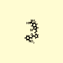 CCn1c(CC[C@@H]2CCCN2C(=O)Cc2ccccc2[N+](=O)[O-])cc2ccc(C(=N)N)cc21